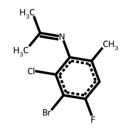 CC(C)=Nc1c(C)cc(F)c(Br)c1Cl